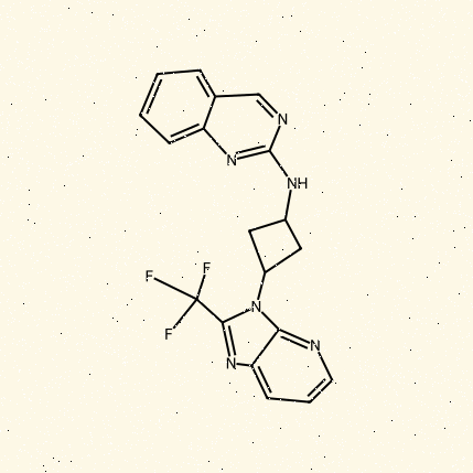 FC(F)(F)c1nc2cccnc2n1C1CC(Nc2ncc3ccccc3n2)C1